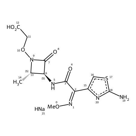 CON=C(C(=O)N[C@@H]1C(=O)N(OCC(=O)O)[C@H]1C)c1csc(N)n1.[NaH]